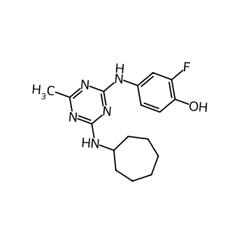 Cc1nc(Nc2ccc(O)c(F)c2)nc(NC2CCCCCC2)n1